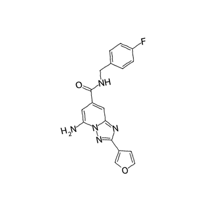 Nc1cc(C(=O)NCc2ccc(F)cc2)cc2nc(-c3ccoc3)nn12